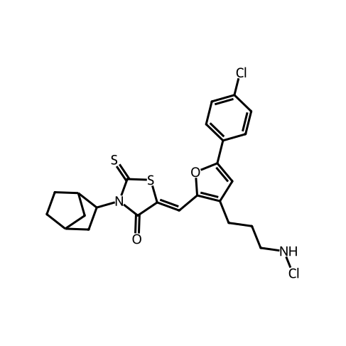 O=C1/C(=C/c2oc(-c3ccc(Cl)cc3)cc2CCCNCl)SC(=S)N1C1CC2CCC1C2